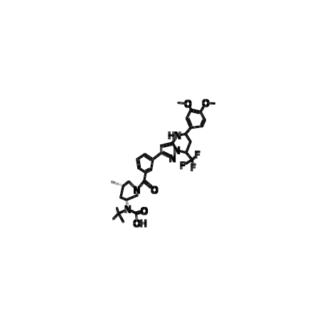 COc1ccc(C2CC(C(F)(F)F)n3nc(-c4cccc(C(=O)N5C[C@@H](C)C[C@@H](N(C(=O)O)C(C)(C)C)C5)c4)cc3N2)cc1OC